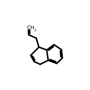 C=CC[C]1C=CCc2ccccc21